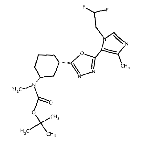 Cc1ncn(CC(F)F)c1-c1nnc([C@H]2CCC[C@@H](N(C)C(=O)OC(C)(C)C)C2)o1